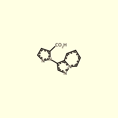 O=C(O)c1ccnn1-c1cnn2ccccc12